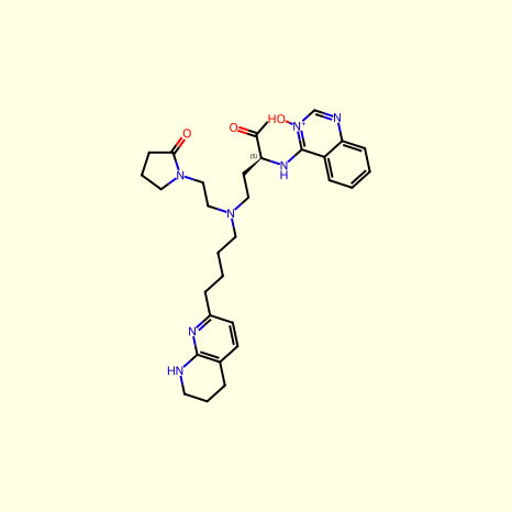 CC(=O)[C@H](CCN(CCCCc1ccc2c(n1)NCCC2)CCN1CCCC1=O)Nc1c2ccccc2nc[n+]1O